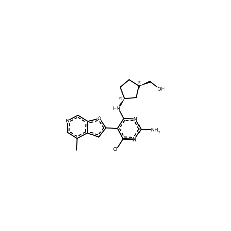 Cc1cncc2oc(-c3c(Cl)nc(N)nc3N[C@H]3CC[C@@H](CO)C3)cc12